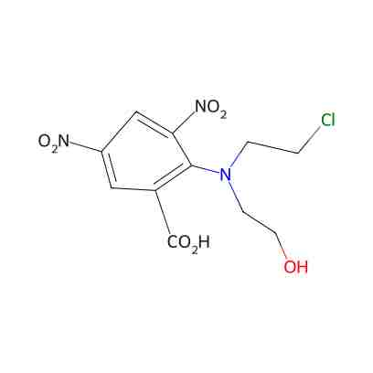 O=C(O)c1cc([N+](=O)[O-])cc([N+](=O)[O-])c1N(CCO)CCCl